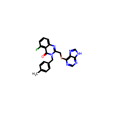 Cc1ccc(Cn2c(CSc3ncnc4[nH]cnc34)nc3cccc(F)c3c2=O)cc1